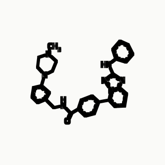 CN1CCN(c2cccc(CNC(=O)c3ccc(-c4cccc5nc(Nc6ccccc6)nn45)cc3)c2)CC1